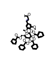 COc1cc(/C=C/C(=O)I)cc(OC)c1O[C@H]1O[C@H](COC(=O)c2ccccc2)[C@@H](OC(=O)c2ccccc2)[C@H](OC(=O)c2ccccc2)[C@@H]1OC(=O)c1ccccc1